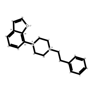 c1ccc(CCN2CCN(c3cccc4ccoc34)CC2)cc1